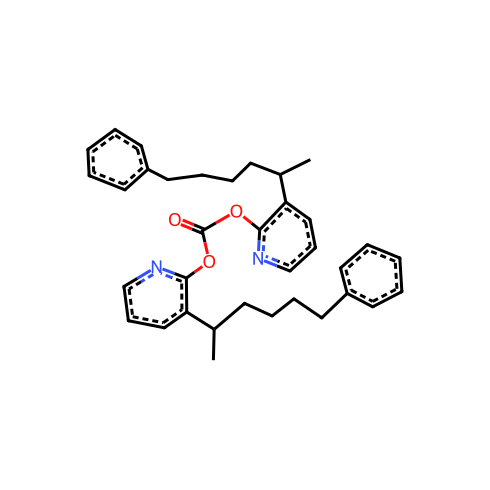 CC(CCCCc1ccccc1)c1cccnc1OC(=O)Oc1ncccc1C(C)CCCCc1ccccc1